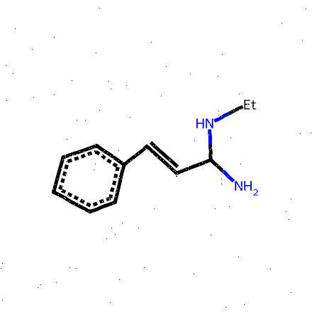 CCNC(N)/[C]=C/c1ccccc1